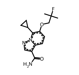 CC(C)(F)COc1ccc2c(C(N)=O)cnn2c1C1CC1